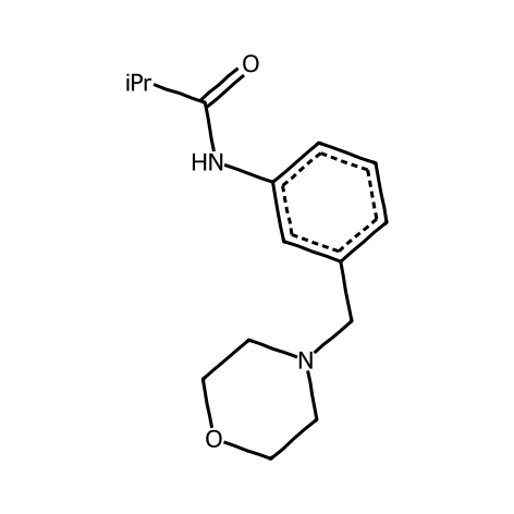 CC(C)C(=O)Nc1cccc(CN2CCOCC2)c1